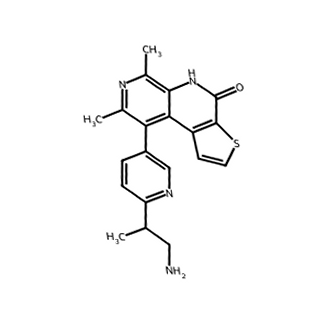 Cc1nc(C)c2[nH]c(=O)c3sccc3c2c1-c1ccc(C(C)CN)nc1